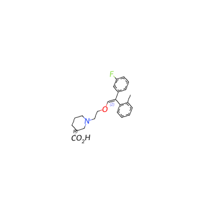 Cc1ccccc1/C(=C\OCCN1CCC[C@@H](C(=O)O)C1)c1cccc(F)c1